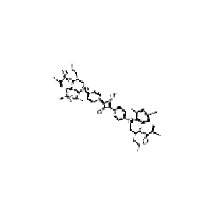 C=C(C)C(=O)OC(CCC)CN(c1ccc(C2=C([O-])C(=C3C=CC(=[N+](CC(CCC)OC(=O)C(=C)C)c4ccc(C)cc4C)C=C3)C2=O)cc1)c1ccc(C)cc1C